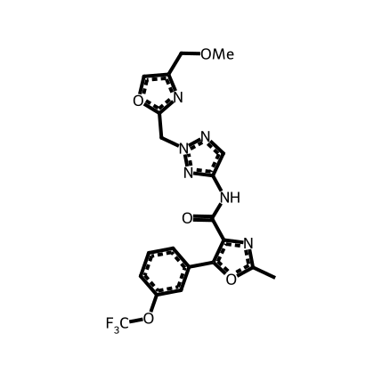 COCc1coc(Cn2ncc(NC(=O)c3nc(C)oc3-c3cccc(OC(F)(F)F)c3)n2)n1